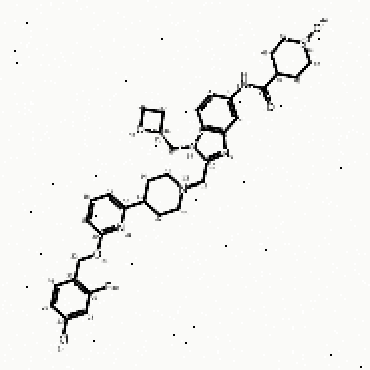 O=C(Nc1ccc2c(c1)nc(CN1CCC(c3cccc(OCc4ccc(Cl)cc4F)n3)CC1)n2C[C@@H]1CCO1)C1CC[S+]([O-])CC1